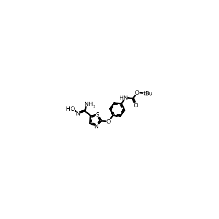 CC(C)(C)OC(=O)Nc1ccc(Oc2ncc(/C(N)=N/O)s2)cc1